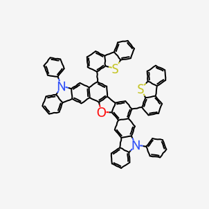 c1ccc(-n2c3ccccc3c3cc4c(cc32)c(-c2cccc3c2sc2ccccc23)cc2c3cc(-c5cccc6c5sc5ccccc56)c5cc6c(cc5c3oc42)c2ccccc2n6-c2ccccc2)cc1